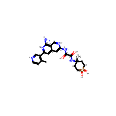 Cc1ccncc1-c1cc2cc(NC(=O)C(=O)NC3(C#N)CCS(=O)(=O)CC3)ncc2c(N)n1